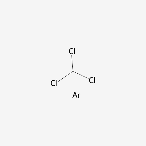 ClC(Cl)Cl.[Ar]